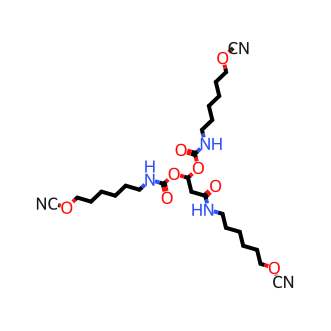 N#COCCCCCCNC(=O)CC(OC(=O)NCCCCCCOC#N)OC(=O)NCCCCCCOC#N